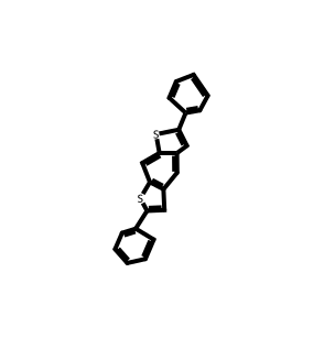 c1ccc(-c2cc3cc4cc(-c5ccccc5)sc4cc3s2)cc1